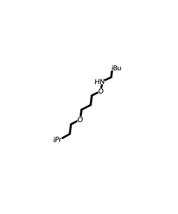 CCC(C)CNOCCCOCCC(C)C